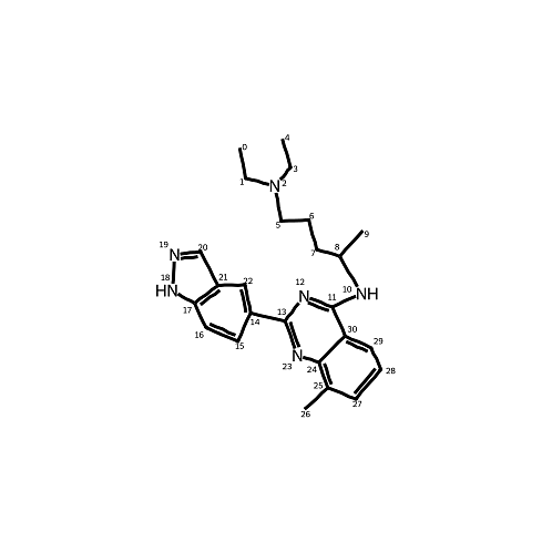 CCN(CC)CCCC(C)Nc1nc(-c2ccc3[nH]ncc3c2)nc2c(C)cccc12